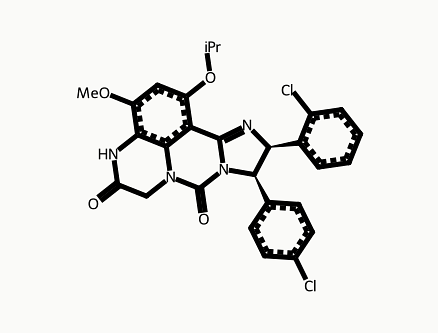 COc1cc(OC(C)C)c2c3c1NC(=O)CN3C(=O)N1C2=N[C@@H](c2ccccc2Cl)[C@H]1c1ccc(Cl)cc1